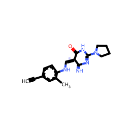 C#Cc1ccc(N/C=C2\C(=N)N=C(N3CCCC3)NC2=O)c(C)c1